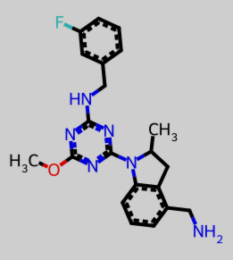 COc1nc(NCc2cccc(F)c2)nc(N2c3cccc(CN)c3CC2C)n1